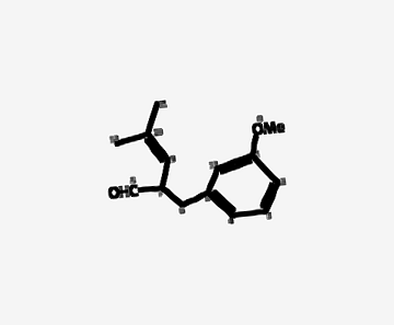 COc1cccc(CC(C=O)C=C(C)C)c1